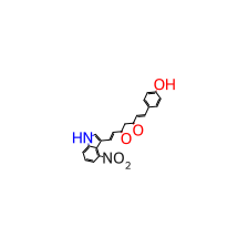 O=C(C=Cc1ccc(O)cc1)CC(=O)C=Cc1c[nH]c2cccc([N+](=O)[O-])c12